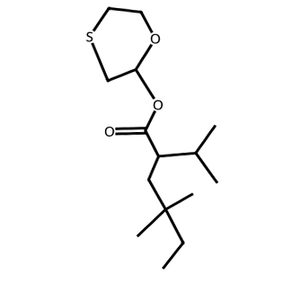 CCC(C)(C)CC(C(=O)OC1CSCCO1)C(C)C